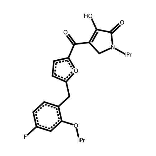 CC(C)Oc1cc(F)ccc1Cc1ccc(C(=O)C2=C(O)C(=O)N(C(C)C)C2)o1